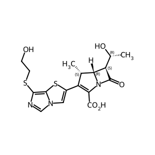 C[C@@H](O)[C@H]1C(=O)N2C(C(=O)O)=C(c3cn4cnc(SCCO)c4s3)[C@H](C)[C@H]12